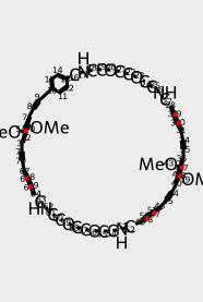 COc1cc2c(OC)cc1C#Cc1ccc(cc1)CNCCOCCOCCNCc1ccc(cc1)C#Cc1cc(OC)c(cc1OC)C#Cc1ccc(cc1)CNCCOCCOCCNCc1ccc(cc1)C#C2